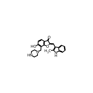 Cc1[nH]c2ccccc2c1/C=C1\Oc2c(ccc(O)c2CN2CCNCC2)C1=O